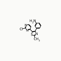 Cc1nc(-c2cccc(N)c2)c(-c2ccnc(Cl)n2)s1